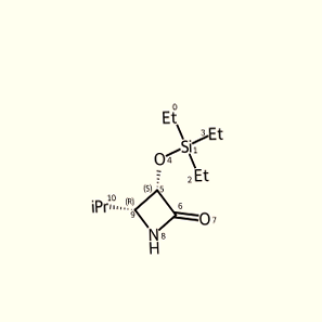 CC[Si](CC)(CC)O[C@@H]1C(=O)N[C@@H]1C(C)C